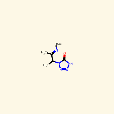 CON=C(C)C(C)n1nn[nH]c1=O